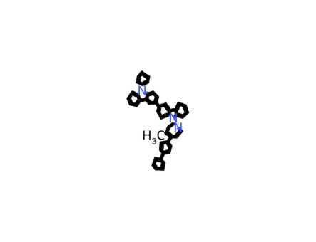 CC1=C(c2ccc(-c3ccccc3)cc2)C=CN=C(n2c3ccccc3c3cc(-c4ccc5c(c4)c4ccccc4n5-c4ccccc4)ccc32)C1